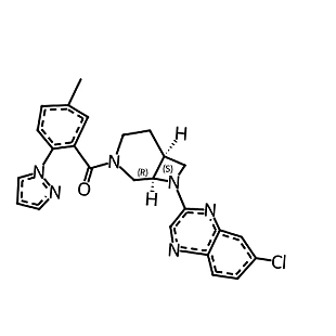 Cc1ccc(-n2cccn2)c(C(=O)N2CC[C@H]3CN(c4cnc5ccc(Cl)cc5n4)[C@H]3C2)c1